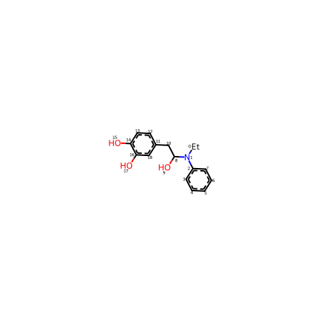 CCN(c1ccccc1)C(O)Cc1ccc(O)c(O)c1